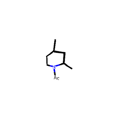 CC(=O)N1CCC(C)CC1C